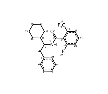 O=C(NC(Cc1ccccc1)C1CCCCC1)c1c(F)cccc1C(F)(F)F